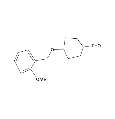 COc1ccccc1COC1CCC(C=O)CC1